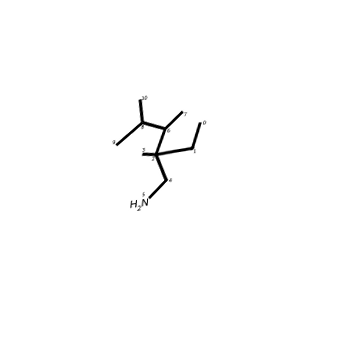 CCC(C)(CN)C(C)C(C)C